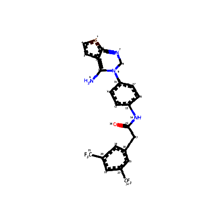 NC1=c2ccsc2=NCN1c1ccc(NC(=O)Cc2cc(C(F)(F)F)cc(C(F)(F)F)c2)cc1